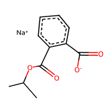 CC(C)OC(=O)c1ccccc1C(=O)[O-].[Na+]